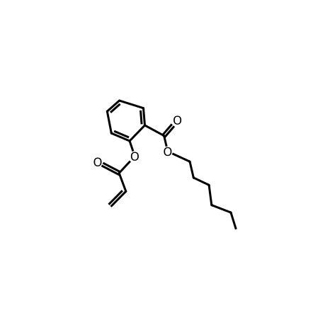 C=CC(=O)Oc1ccccc1C(=O)OCCCCCC